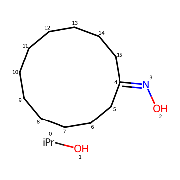 CC(C)O.ON=C1CCCCCCCCCCC1